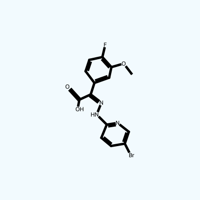 COc1cc(/C(=N/Nc2ccc(Br)cn2)C(=O)O)ccc1F